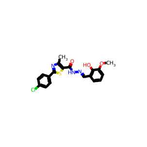 COc1cccc(/C=N/NC(=O)c2sc(-c3ccc(Cl)cc3)nc2C)c1O